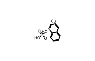 O=S(=O)(O)O.[Cu].c1ccc2ncccc2c1